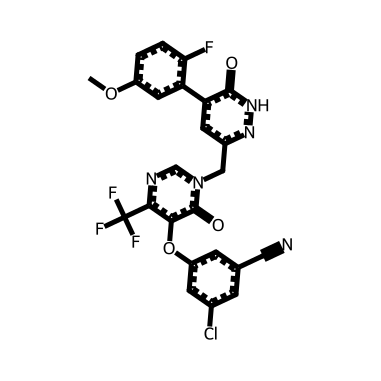 COc1ccc(F)c(-c2cc(Cn3cnc(C(F)(F)F)c(Oc4cc(Cl)cc(C#N)c4)c3=O)n[nH]c2=O)c1